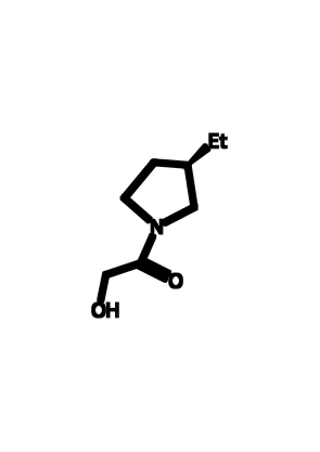 CC[C@@H]1CCN(C(=O)CO)C1